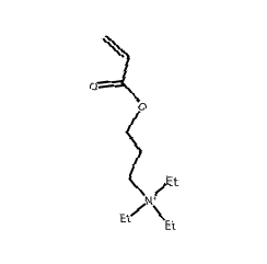 C=CC(=O)OCCC[N+](CC)(CC)CC